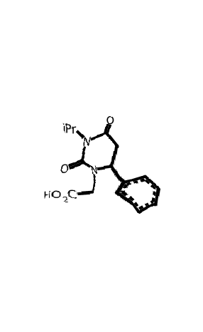 CC(C)N1C(=O)CC(c2ccccc2)N(CC(=O)O)C1=O